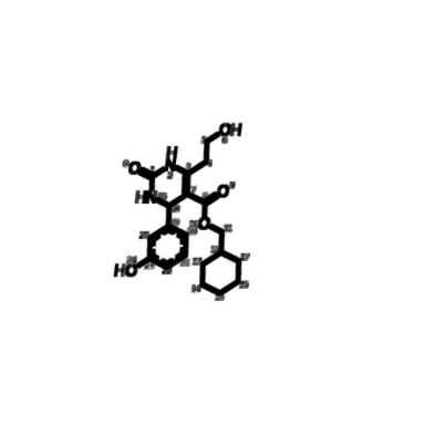 O=C1NC(CCO)=C(C(=O)OCC2CCCCC2)C(c2cccc(O)c2)N1